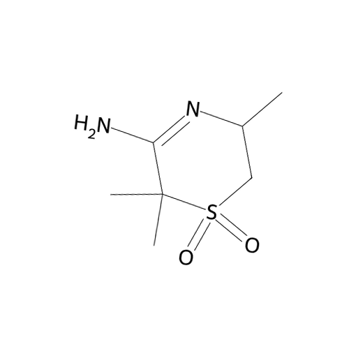 CC1CS(=O)(=O)C(C)(C)C(N)=N1